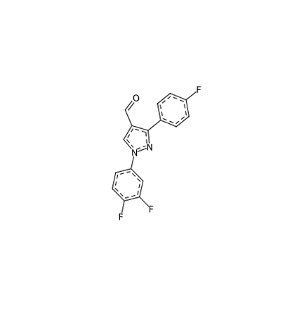 O=Cc1cn(-c2ccc(F)c(F)c2)nc1-c1ccc(F)cc1